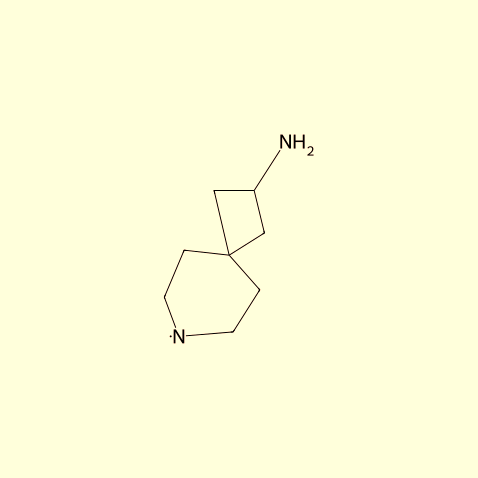 NC1CC2(CC[N]CC2)C1